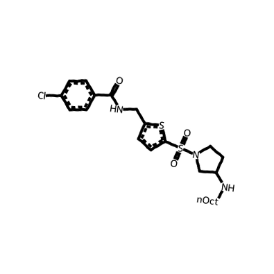 CCCCCCCCNC1CCN(S(=O)(=O)c2ccc(CNC(=O)c3ccc(Cl)cc3)s2)C1